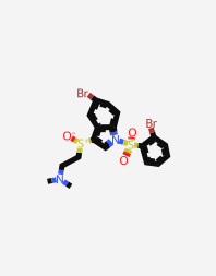 CN(C)CC[S+]([O-])c1cn(S(=O)(=O)c2ccccc2Br)c2ccc(Br)cc12